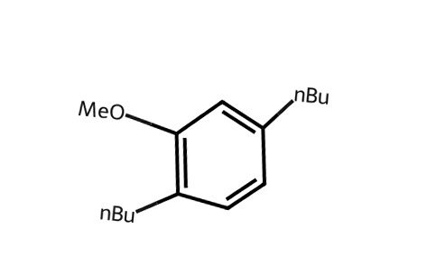 CCCCc1ccc(CCCC)c(OC)c1